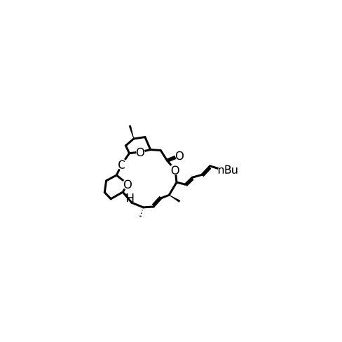 CCCCC=C/C=C/C1OC(=O)CC2C[C@H](C)CC(CC3CCC[C@H](C[C@@H](C)/C=C/[C@@H]1C)O3)O2